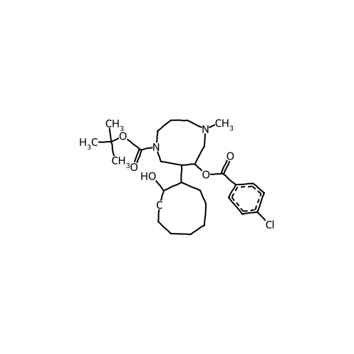 CN1CCCN(C(=O)OC(C)(C)C)CC(C2CCCCCCCC2O)C(OC(=O)c2ccc(Cl)cc2)C1